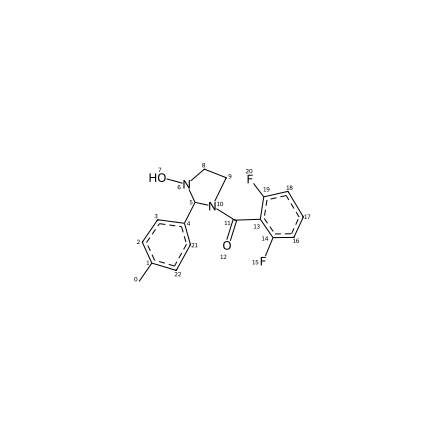 Cc1ccc(C2N(O)CCN2C(=O)c2c(F)cccc2F)cc1